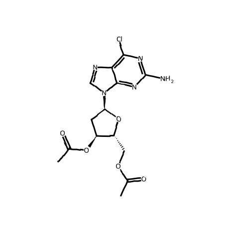 CC(=O)OC[C@H]1O[C@H](n2cnc3c(Cl)nc(N)nc32)C[C@@H]1OC(C)=O